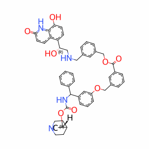 O=C(NC(c1ccccc1)c1cccc(OCc2cccc(C(=O)OCc3cccc(CNC[C@H](O)c4ccc(O)c5[nH]c(=O)ccc45)c3)c2)c1)O[C@H]1CN2CCC1CC2